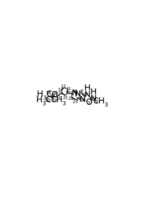 CNC(=O)Nc1cn2nc(-c3cccc(COC(C)(C)C)c3)ccc2n1